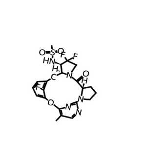 Cc1cnc2nc1Oc1cccc(c1F)C[C@H]1[C@@H](NS(C)(=O)=O)C(F)(F)CN1C(=O)[C@@H]1CCCN21